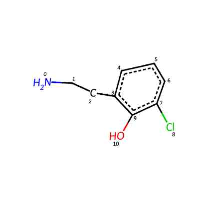 NCCc1cccc(Cl)c1O